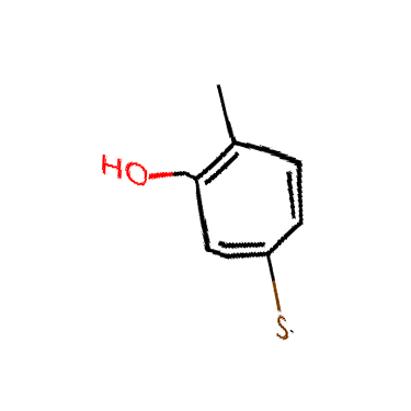 Cc1ccc([S])cc1O